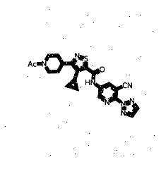 CC(=O)N1CCC(c2nsc(C(=O)Nc3cnc(-n4nccn4)c(C#N)c3)c2C2CC2)CC1